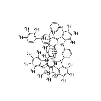 [2H]c1ccc(-c2cc(-c3ccccc3)cc(-c3nc(-c4c(-n5c6c([2H])c([2H])c([2H])c([2H])c6c6c([2H])c([2H])c([2H])c([2H])c65)cccc4-n4c5c([2H])c([2H])c([2H])c([2H])c5c5c([2H])c([2H])c([2H])c([2H])c54)nc(-n4c5c([2H])c([2H])c([2H])c([2H])c5c5c([2H])c([2H])c([2H])c([2H])c54)n3)c2)c([2H])c1[2H]